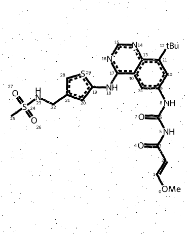 COC=CC(=O)NC(=O)Nc1cc(C(C)(C)C)c2ncnc(Nc3cc(CNS(C)(=O)=O)cs3)c2c1